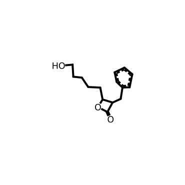 O=C1OC(CCCCCO)C1Cc1ccccc1